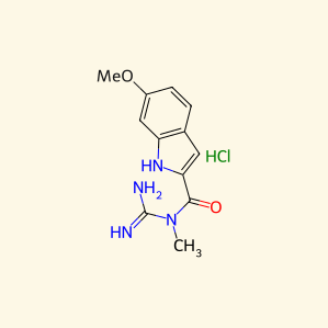 COc1ccc2cc(C(=O)N(C)C(=N)N)[nH]c2c1.Cl